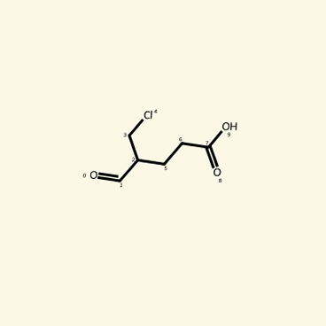 O=CC(CCl)CCC(=O)O